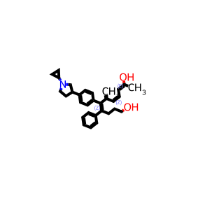 C=C(/C=C\C=C(/C)O)/C(=C(\CCCO)c1ccccc1)c1ccc(C2CCN(C3CC3)C2)cc1